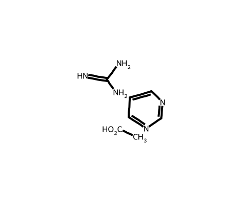 CC(=O)O.N=C(N)N.c1cncnc1